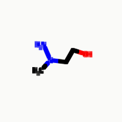 CN(N)CCO